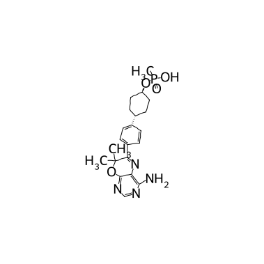 CC1(C)Oc2ncnc(N)c2N=C1c1ccc([C@H]2CC[C@H](OP(C)(=O)O)CC2)cc1